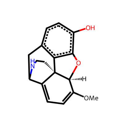 COC1=CC=C2C3Cc4ccc(O)c5c4[C@@]2(CCN3)[C@H]1O5